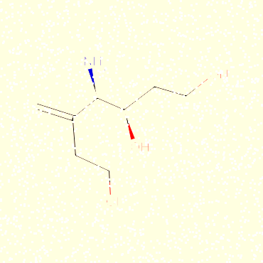 C=C(CCO)[C@@H](N)[C@H](O)CCO